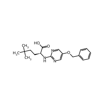 CC(C)(C)CC[C@H](Nc1ncc(OCc2ccccc2)cn1)C(=O)O